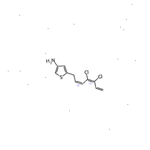 C=C/C(Cl)=C(Cl)\C=C/Cc1cc(N)cs1